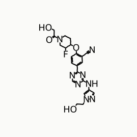 N#Cc1cc(-c2ncnc(Nc3cnn(CCO)c3)n2)ccc1OC1CCN(C(=O)CO)CC1F